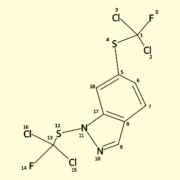 FC(Cl)(Cl)Sc1ccc2cnn(SC(F)(Cl)Cl)c2c1